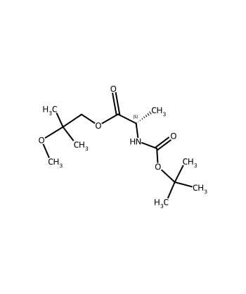 COC(C)(C)COC(=O)[C@H](C)NC(=O)OC(C)(C)C